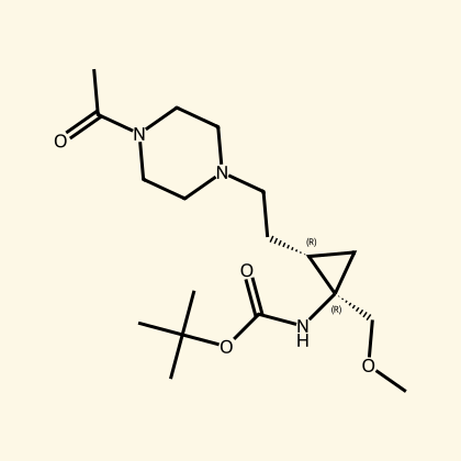 COC[C@@]1(NC(=O)OC(C)(C)C)C[C@H]1CCN1CCN(C(C)=O)CC1